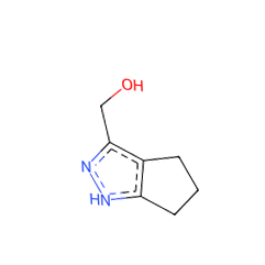 OCc1n[nH]c2c1CCC2